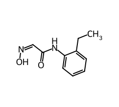 CCc1ccccc1NC(=O)/C=N\O